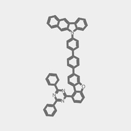 C1=CCC(c2nc(-c3ccccc3)nc(-c3cccc4oc5cc(-c6ccc(-c7ccc(-n8c9ccccc9c9cc%10ccccc%10cc98)cc7)cc6)ccc5c34)n2)C=C1